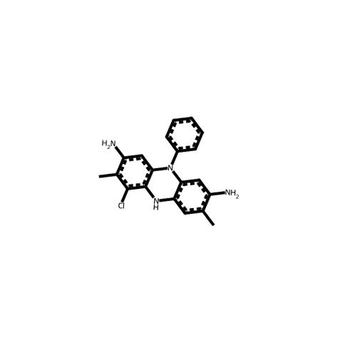 Cc1cc2c(cc1N)N(c1ccccc1)c1cc(N)c(C)c(Cl)c1N2